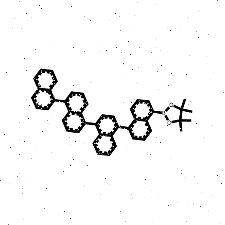 CC1(C)OB(c2cccc3c(-c4ccc(-c5cccc6c(-c7cccc8ccccc78)cccc56)c5ccccc45)cccc23)OC1(C)C